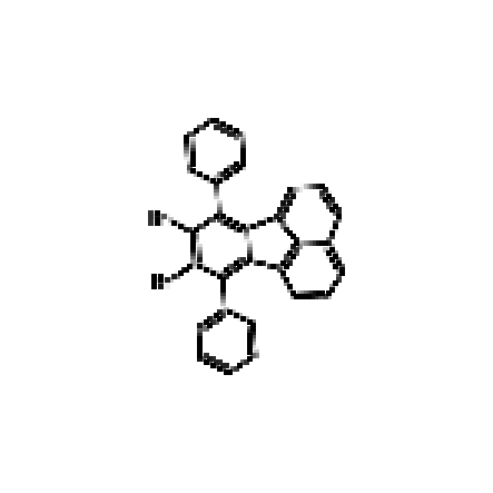 Brc1c(Br)c(-c2ccccc2)c2c(c1-c1ccccc1)-c1cccc3cccc-2c13